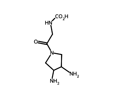 NC1CN(C(=O)CNC(=O)O)CC1N